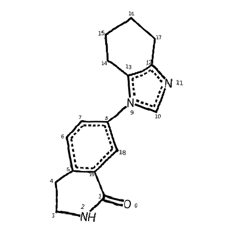 O=C1NCCc2ccc(-n3cnc4c3CCCC4)cc21